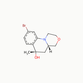 C[C@]1(O)C[C@H]2COCCN2c2cc(Br)ccc21